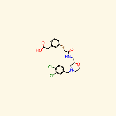 O=C(O)Cc1cccc(SCC(=O)NC[C@H]2CN(Cc3ccc(Cl)c(Cl)c3)CCO2)c1